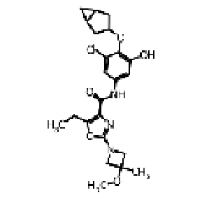 CCc1oc(N2CC(C)(OC)C2)nc1C(=O)Nc1cc(O)c(OC2CC3CC3C2)c(Cl)c1